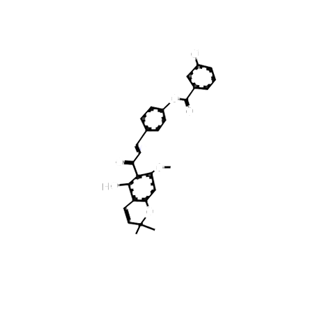 COc1cc2c(c(O)c1C(=O)/C=C/c1ccc(OC(=O)c3cccc(Cl)c3)cc1)C=CC(C)(C)O2